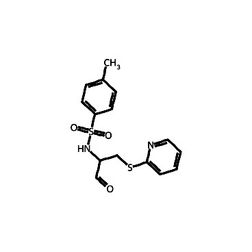 Cc1ccc(S(=O)(=O)NC(C=O)CSc2ccccn2)cc1